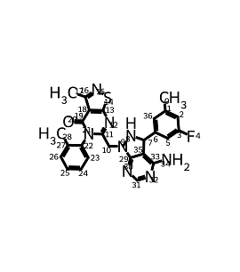 Cc1cc(F)cc(C2NN(Cc3nc4snc(C)c4c(=O)n3-c3ccccc3C)c3ncnc(N)c32)c1